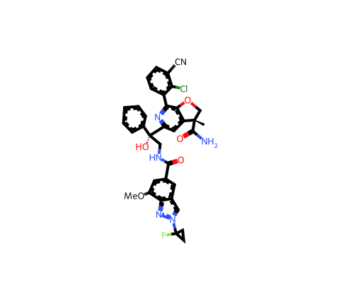 COc1cc(C(=O)NC[C@@](O)(c2ccccc2)c2cc3c(c(-c4cccc(C#N)c4Cl)n2)OC[C@]3(C)C(N)=O)cc2cn(C3(F)CC3)nc12